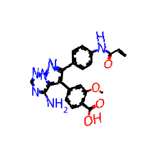 C=CC(=O)Nc1ccc(-c2nn3ncnc(N)c3c2-c2ccc(C(=O)O)c(OC)c2)cc1